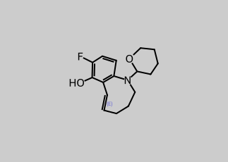 Oc1c(F)ccc2c1/C=C/CCCN2C1CCCCO1